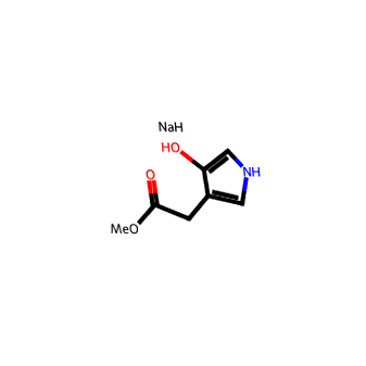 COC(=O)Cc1c[nH]cc1O.[NaH]